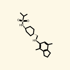 Cc1cc(NC[C@H]2CC[C@H](NS(=O)(=O)C(C)C)CC2)c(C)c2c1CCC2